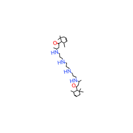 CC(CC(=O)C1C(C)C=CCC1(C)C)NCCCNCCCNCCCNC(C)CC(=O)C1C(C)C=CCC1(C)C